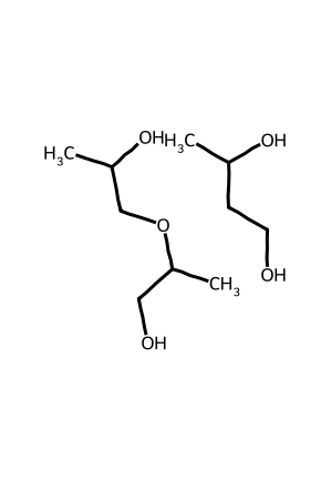 CC(O)CCO.CC(O)COC(C)CO